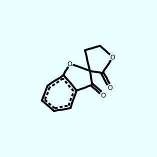 O=C1OCCC12Oc1ccccc1C2=O